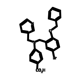 O=C(O)c1ccc(N(Cc2cccnc2)Cc2cc(Br)ccc2OCc2ccccc2)cc1